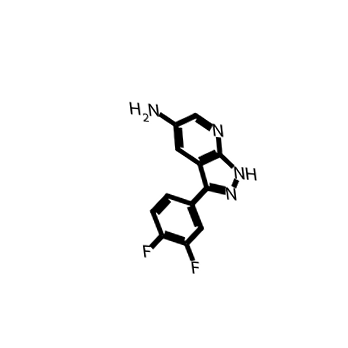 Nc1cnc2[nH]nc(-c3ccc(F)c(F)c3)c2c1